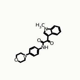 Cn1cc(C(=O)C(=O)Nc2ccc(N3CCOCC3)cc2)c2ccccc21